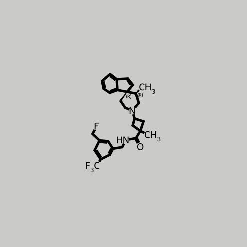 C[C@H]1CN(C2CC(C)(C(=O)NCc3cc(CF)cc(C(F)(F)F)c3)C2)CC[C@@]12C=Cc1ccccc12